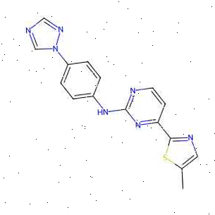 Cc1cnc(-c2ccnc(Nc3ccc(-n4cncn4)cc3)n2)s1